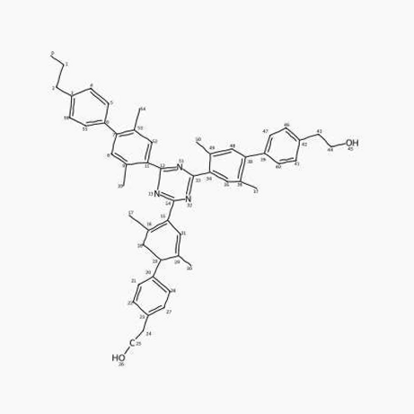 CCCc1ccc(-c2cc(C)c(-c3nc(C4=C(C)CC(c5ccc(CCO)cc5)C(C)=C4)nc(-c4cc(C)c(-c5ccc(CCO)cc5)cc4C)n3)cc2C)cc1